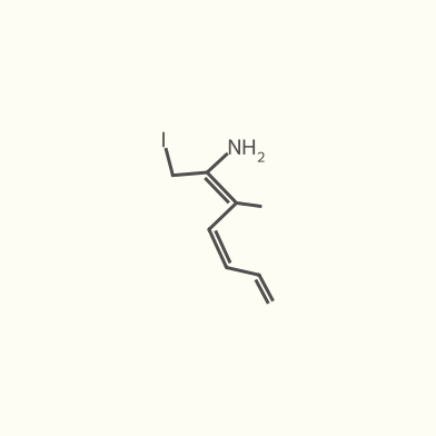 C=C/C=C\C(C)=C(\N)CI